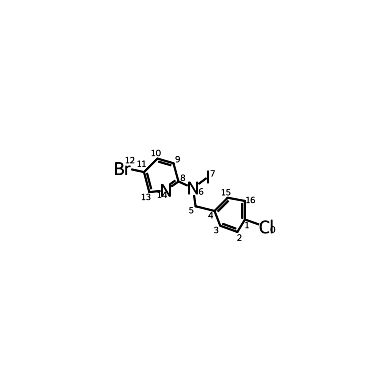 Clc1ccc(CN(I)c2ccc(Br)cn2)cc1